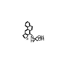 CC(CO)(CO)NCc1c2ccc3ccccc3c2cc2ccsc12